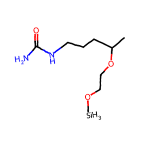 CC(CCCNC(N)=O)OCCO[SiH3]